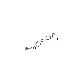 O=C(O)N1CCC(COc2ccc(OCCBr)cc2)C1